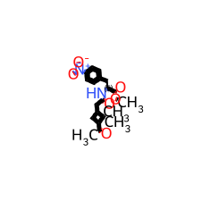 COC(=O)[C@H](Cc1ccc([N+](=O)[O-])cc1)NC(=O)CC1CC(C(C)=O)C1(C)C